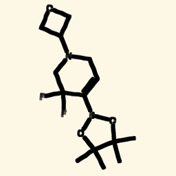 CC1(C)OB(C2=CCN(C3COC3)CC2(F)F)OC1(C)C